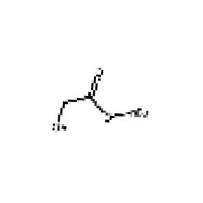 [CH2]C(=O)OCC(=O)OCCCC